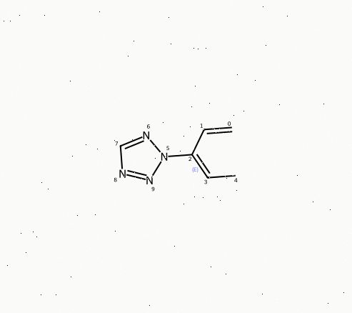 C=C/C(=C\C)n1ncnn1